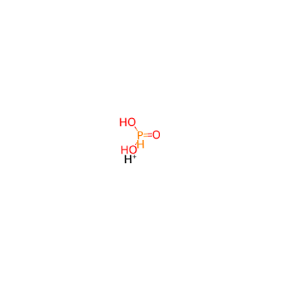 O=[PH](O)O.[H+]